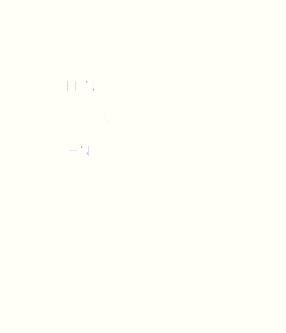 N=C(N)c1ccccc1-c1cc[c]cc1